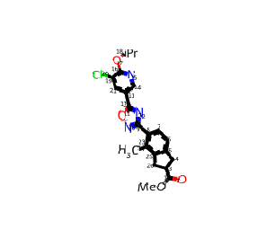 COC(=O)C1Cc2ccc(-c3noc(-c4cnc(OC(C)C)c(Cl)c4)n3)c(C)c2C1